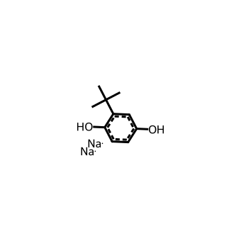 CC(C)(C)c1cc(O)ccc1O.[Na].[Na]